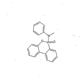 CN(c1ccccc1)P1(=O)Oc2ccccc2-c2ccccc21